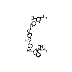 CN(C)c1nc(N[C@H]2CC[C@@H](NCc3ccc(OCCN4CCN(c5ncc(C(F)(F)F)cc5Cl)CC4)cc3)CC2)nc2ccccc12